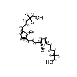 CC(C)(CO)CCCc1ccc(CCCc2ccc(CCCC(C)(C)CO)[s+]2[O-])[s+]1[O-]